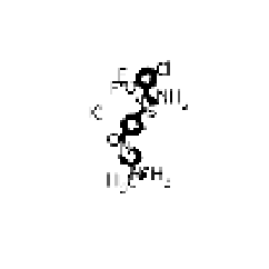 CN(C)C1CCN(C(=O)c2ccc(-c3nc(-c4cc(Cl)ccc4OC(F)F)c(N)s3)cc2)CC1.Cl